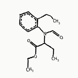 CCOC(=O)C(CC)N(C=O)c1ccccc1CC